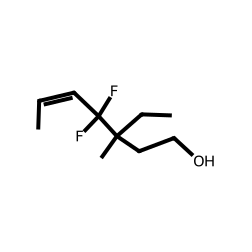 C/C=C\C(F)(F)C(C)(CC)CCO